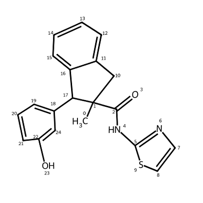 CC1(C(=O)Nc2nccs2)Cc2ccccc2C1c1cccc(O)c1